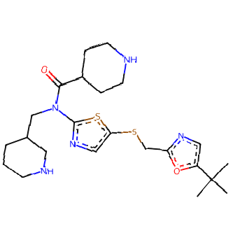 CC(C)(C)c1cnc(CSc2cnc(N(CC3CCCNC3)C(=O)C3CCNCC3)s2)o1